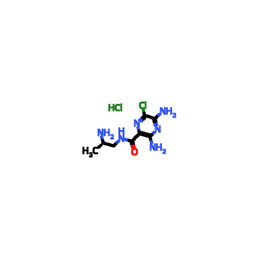 C[C@@H](N)CNC(=O)c1nc(Cl)c(N)nc1N.Cl